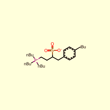 CCCC[P+](CCCC)(CCCC)CCC(Cc1ccc(C(C)CC)cc1)S(=O)(=O)[O-]